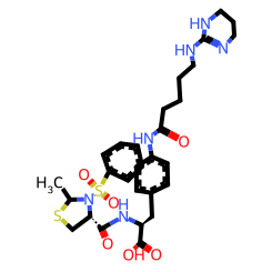 CC1SC[C@@H](C(=O)N[C@@H](Cc2ccc(NC(=O)CCCCNC3=NCCCN3)cc2)C(=O)O)N1S(=O)(=O)c1ccccc1